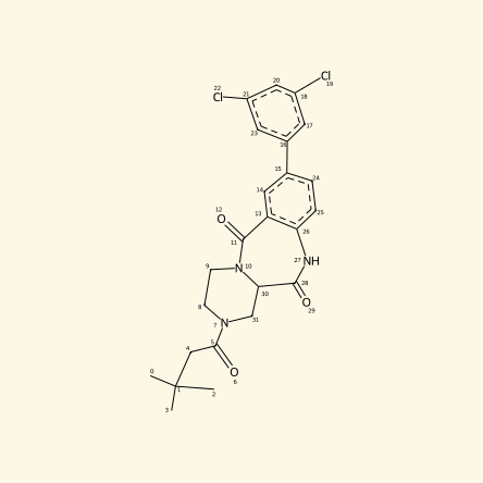 CC(C)(C)CC(=O)N1CCN2C(=O)c3cc(-c4cc(Cl)cc(Cl)c4)ccc3NC(=O)C2C1